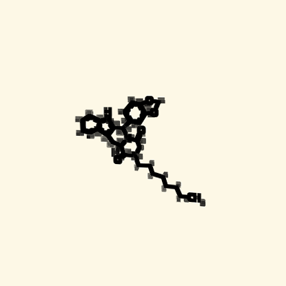 CCCCCCCCN1CC(=O)N2[C@H](c3ccc4c(c3)OCO4)c3[nH]c4ccccc4c3C[C@@H]2C1=O